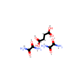 NC(=O)C(N)=O.NC(=O)C(N)=O.O=C(O)CCC(=O)O